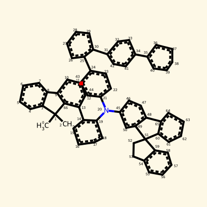 CC1(C)c2ccccc2-c2cccc(-c3ccccc3N(c3ccc(-c4ccccc4-c4ccc(-c5ccccc5)cc4)cc3)c3ccc4c(c3)C3(CCc5ccccc53)c3ccccc3-4)c21